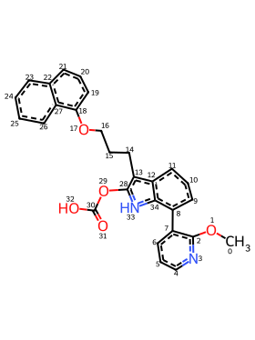 COc1ncccc1-c1cccc2c(CCCOc3cccc4ccccc34)c(OC(=O)O)[nH]c12